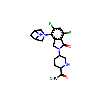 O=CC(=O)C1CCC(N2Cc3c(c(F)cc(F)c3N3CC4CC(C3)N4)C2=O)CN1